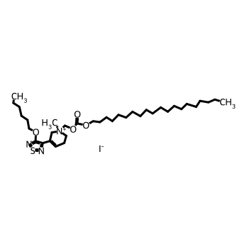 CCCCCCCCCCCCCCCCCCCCOC(=O)OC[N+]1(C)CCC=C(c2nsnc2OCCCCCC)C1.[I-]